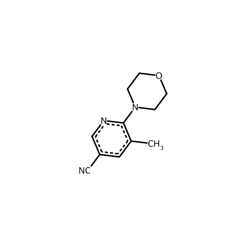 Cc1cc(C#N)cnc1N1CCOCC1